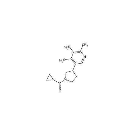 Cc1ncc(C2CCN(C(=O)C3CC3)C2)c(N)c1N